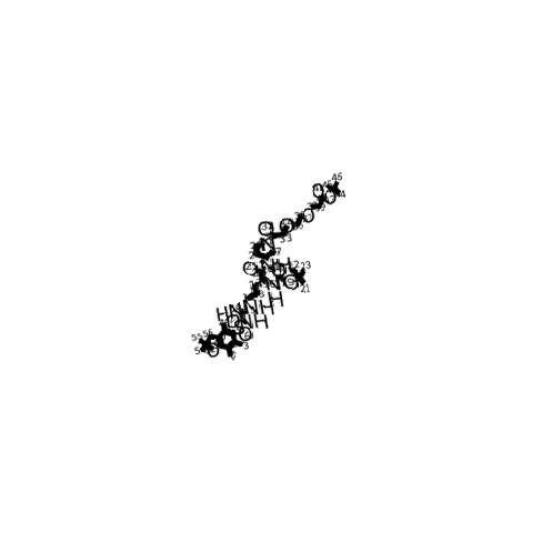 Cc1c(C)c(S(=O)(=O)NC(=N)NCCC[C@H](NC(=O)OC(C)(C)C)C(=O)N[C@@H]2CCN(C(=O)COCCOCCC(=O)OC(C)(C)C)C2)c(C)c2c1OC(C)(C)C2